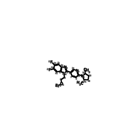 CCOCCn1c(-c2ccc(N3[C@@H](C)CC[C@@H]3C)nc2)nc2cc(F)c(F)cc21